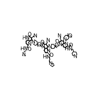 COC1(C)CCN(c2c(C#N)c(=O)n(COC3(C)CCN(c4c(C#N)c(=O)n(COC5(C)CCN(c6c(C#N)c(=O)[nH]c7ccc(C(=O)NCCN(C)C)nc67)CC5)c5ccc(C(=O)NCCN6CCCC6)nc45)CC3)c3ccc(C(=O)NCC4CCN(C)CC4)nc23)CC1